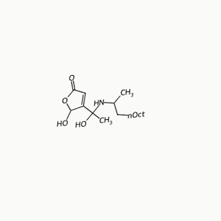 CCCCCCCCCC(C)NC(C)(O)C1=CC(=O)OC1O